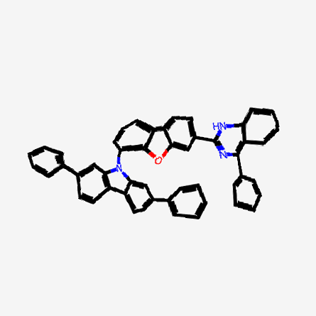 C1=CC2=C(c3ccccc3)N=C(c3ccc4c(c3)oc3c(-n5c6cc(-c7ccccc7)ccc6c6ccc(-c7ccccc7)cc65)cccc34)NC2C=C1